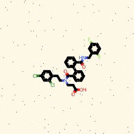 O=C(O)CCN(CCc1ccc(Cl)cc1Cl)C(=O)c1ccccc1-c1ccccc1C(=O)NCc1cc(F)ccc1F